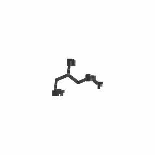 CCCCC(CC)[CH2][Sn][F]